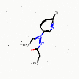 CCOC(=O)CC(=O)NN(CC(=O)OCC)c1ccc(C#N)nc1